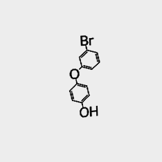 Oc1ccc(Oc2cccc(Br)c2)cc1